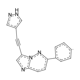 C(#Cc1cnc2ccc(-c3cc[c]cc3)nn12)c1cn[nH]c1